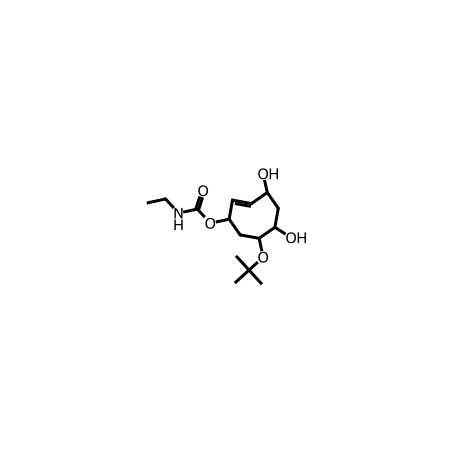 CCNC(=O)OC1/C=C/C(O)CC(O)C(OC(C)(C)C)C1